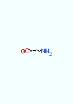 NCCCCCCCOC=O